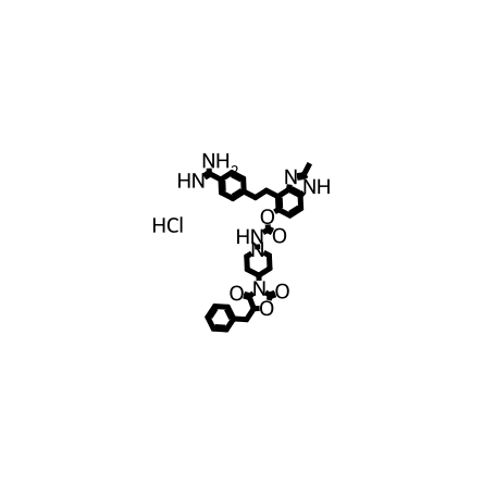 Cc1nc2c(CCc3ccc(C(=N)N)cc3)c(OC(=O)NN3CCC(N4C(=O)OC(Cc5ccccc5)C4=O)CC3)ccc2[nH]1.Cl